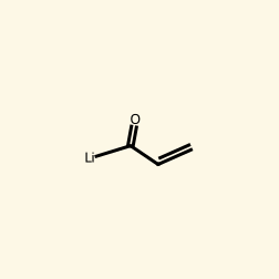 [Li][C](=O)C=C